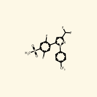 CS(=O)(=O)c1cc(F)c(-c2cc(C(F)F)nn2-c2ccc(C(F)(F)F)cc2)cc1F